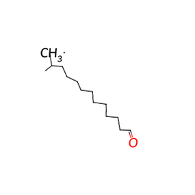 CC(C)CCCCCCCCCCC=O.[CH3]